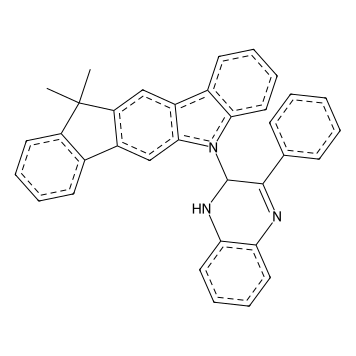 CC1(C)c2ccccc2-c2cc3c(cc21)c1ccccc1n3C1Nc2ccccc2N=C1c1ccccc1